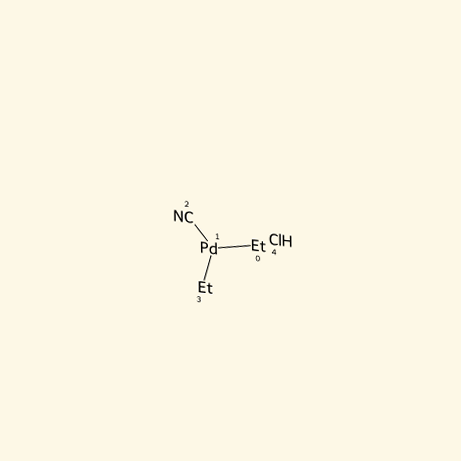 C[CH2][Pd]([C]#N)[CH2]C.Cl